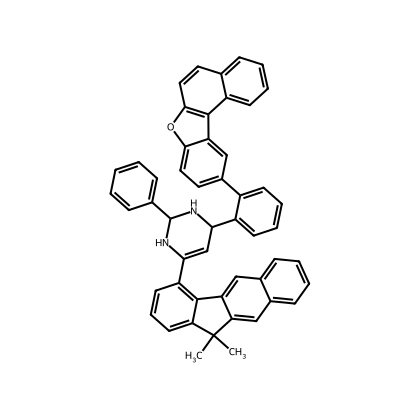 CC1(C)c2cc3ccccc3cc2-c2c(C3=CC(c4ccccc4-c4ccc5oc6ccc7ccccc7c6c5c4)NC(c4ccccc4)N3)cccc21